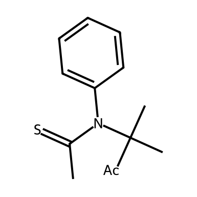 CC(=O)C(C)(C)N(C(C)=S)c1ccccc1